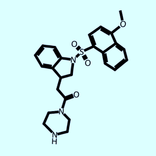 COc1ccc(S(=O)(=O)N2CC(CC(=O)N3CCNCC3)c3ccccc32)c2ccccc12